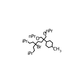 CCCOCC(CCC(Br)(CCC(C)C)CCC(C)C)(COCCC)C1CCC(C)CC1